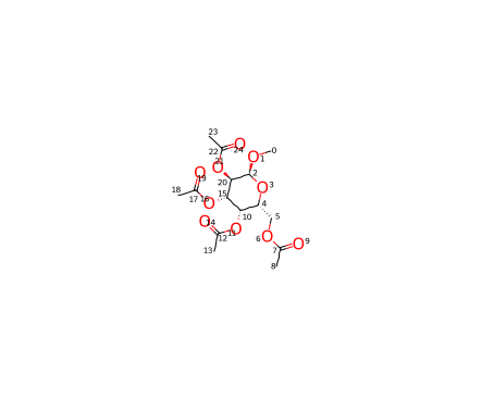 CO[C@H]1O[C@H](COC(C)=O)[C@H](OC(C)=O)[C@H](OC(C)=O)[C@H]1OC(C)=O